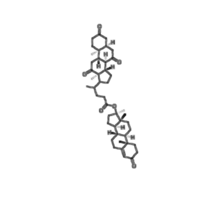 CC(CCC(=O)O[C@]1(C)CC[C@@H]2[C@H]3CCC4=CC(=O)CC[C@@]4(C)[C@@H]3CC[C@]21C)C1CC[C@H]2[C@@H]3C(=O)C[C@@H]4CC(=O)CC[C@]4(C)[C@H]3CC(=O)[C@]12C